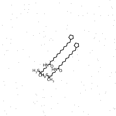 CN(C)CCCNC(=O)CCCCCCCCCCC1CCCC1.CN(C)CCCNC(=O)CCCCCCCCCCCCC1CCCC1